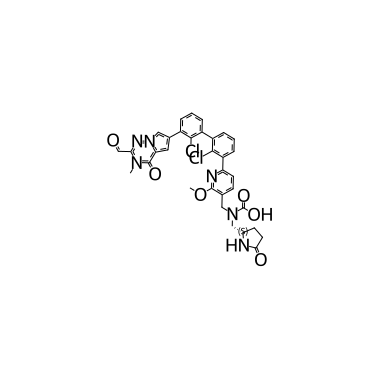 COc1nc(-c2cccc(-c3cccc(-c4cc5c(=O)n(C)c(C=O)nn5c4)c3Cl)c2Cl)ccc1CN(C[C@@H]1CCC(=O)N1)C(=O)O